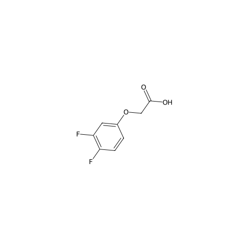 O=C(O)COc1ccc(F)c(F)c1